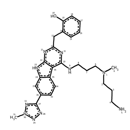 CN(CCCN)CCCNc1nc(Cc2ccccc2O)nc2[nH]c3cc(-c4nnn(C)n4)ccc3c12